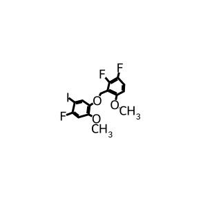 COc1cc(F)c(I)cc1OCc1c(OC)ccc(F)c1F